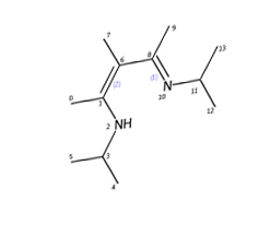 C/C(NC(C)C)=C(C)/C(C)=N/C(C)C